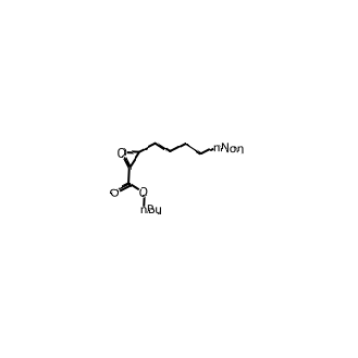 CCCCCCCCCCCCCC1OC1C(=O)OCCCC